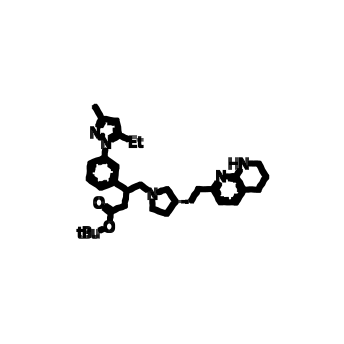 CCc1cc(C)nn1-c1cccc(C(CC(=O)OC(C)(C)C)CN2CC[C@@H](CCc3ccc4c(n3)NCCC4)C2)c1